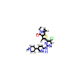 CCN1C(=O)c2c(sc(-c3nc(Nc4ccc(C5CCN(C)CC5)cn4)ncc3Cl)c2C)C12CC2